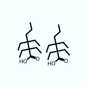 CCCC(CC)(CC)C(CC)(CC)C(=O)O.CCCC(CC)(CC)C(CC)(CC)C(=O)O